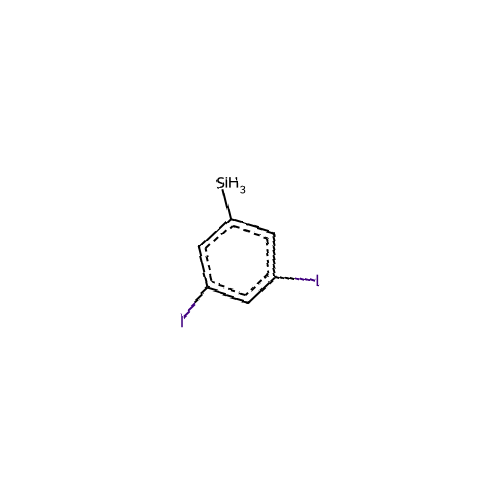 [SiH3]c1cc(I)cc(I)c1